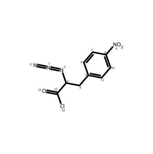 [N-]=[N+]=NC(Cc1ccc([N+](=O)[O-])cc1)C(=O)Cl